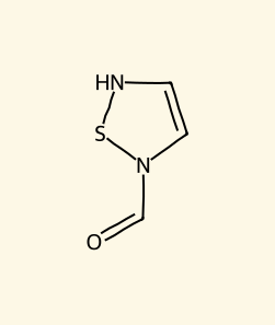 O=CN1C=CNS1